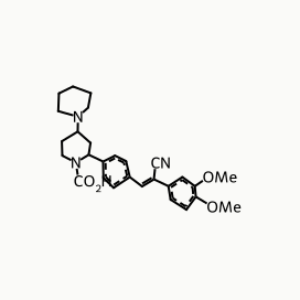 COc1ccc(C(C#N)=Cc2ccc(C3CC(N4CCCCC4)CCN3C(=O)O)cc2)cc1OC